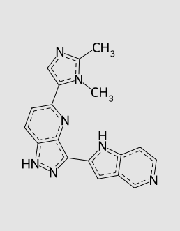 Cc1ncc(-c2ccc3[nH]nc(-c4cc5cnccc5[nH]4)c3n2)n1C